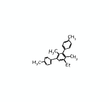 CCc1[c]c(-c2ccc(C)cc2)c(C)c(-c2ccc(C)cc2)c1C